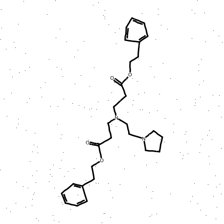 O=C(CCN(CCC(=O)OCCc1ccccc1)CCN1CCCC1)OCCc1ccccc1